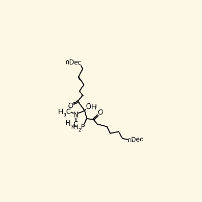 CCCCCCCCCCCCCCCC(=O)C(P)C(O)(C(=O)CCCCCCCCCCCCCCC)N(C)C